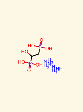 N.N.N.N.O=P(O)(O)CC(O)P(=O)(O)O